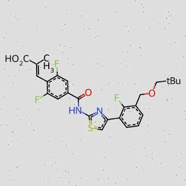 CC(=Cc1c(F)cc(C(=O)Nc2nc(-c3cccc(COCC(C)(C)C)c3F)cs2)cc1F)C(=O)O